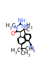 CN1C(=N)N[C@](C)(c2ccc(C#N)cc2)[C@@H](C2C=CC(C(C)(C)C)=CC2)C1=O